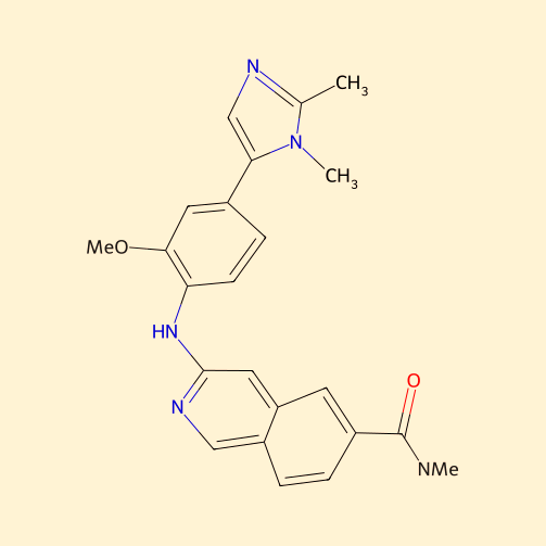 CNC(=O)c1ccc2cnc(Nc3ccc(-c4cnc(C)n4C)cc3OC)cc2c1